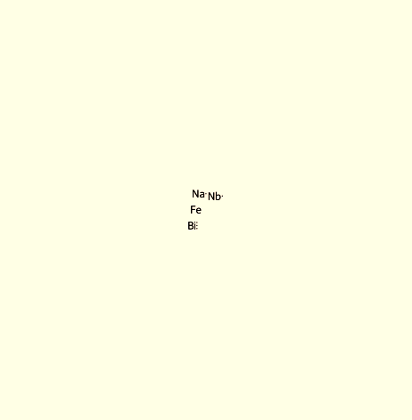 [Bi].[Fe].[Na].[Nb]